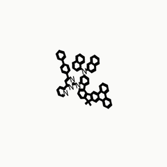 CC1(C)c2cc3c4ccccc4c4ccccc4c3cc2-c2c1ccc1c2c2ccc(N(c3ccc4ccccc4c3)c3cccc4ccccc34)cc2n1-c1nc(-c2ccc(-c3ccccc3)cc2)cc(-c2ccccn2)n1